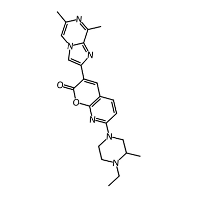 CCN1CCN(c2ccc3cc(-c4cn5cc(C)nc(C)c5n4)c(=O)oc3n2)CC1C